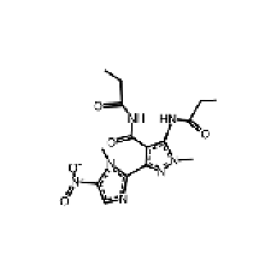 CCC(=O)NC(=O)c1c(-c2ncc([N+](=O)[O-])n2C)nn(C)c1NC(=O)CC